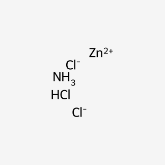 Cl.N.[Cl-].[Cl-].[Zn+2]